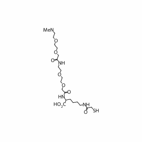 CNCCOCCOCC(=O)NCCOCCOCC(=O)NC(CCCCNC(=O)CS)C(=O)O